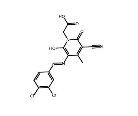 Cc1c(N=Nc2ccc(Cl)c(Cl)c2)c(O)n(CC(=O)O)c(=O)c1C#N